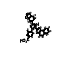 Cc1cc(C(=O)O)ccc1N1N=C(c2ccc3c(c2)OOC3)NN1c1nc2c(ccc3ccccc32)s1